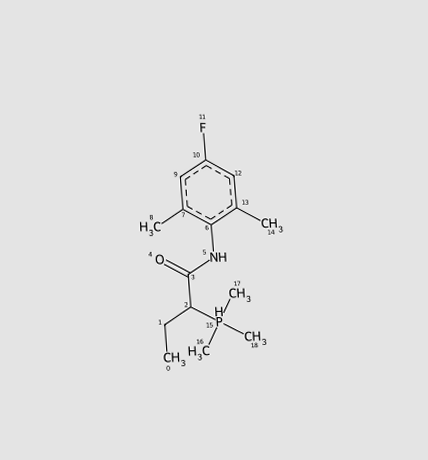 CCC(C(=O)Nc1c(C)cc(F)cc1C)[PH](C)(C)C